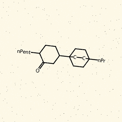 CCCCCC1CCC(C23CCC(CCC)(CC2)CC3)CC1=O